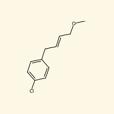 [CH2]OC/C=C/Cc1ccc(Cl)cc1